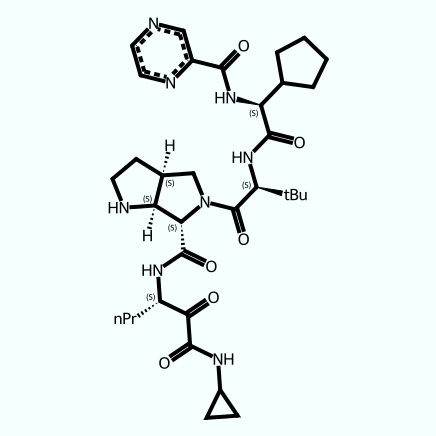 CCC[C@H](NC(=O)[C@@H]1[C@H]2NCC[C@H]2CN1C(=O)[C@@H](NC(=O)[C@@H](NC(=O)c1cnccn1)C1CCCC1)C(C)(C)C)C(=O)C(=O)NC1CC1